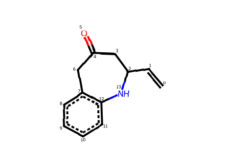 C=CC1CC(=O)Cc2ccccc2N1